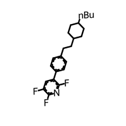 CCCCC1CCC(CCc2ccc(-c3cc(F)c(F)nc3F)cc2)CC1